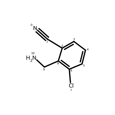 N#Cc1cccc(Cl)c1CN